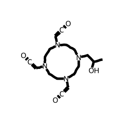 CC(O)CN1CCN(C=C=O)CCN(C=C=O)CCN(C=C=O)CC1